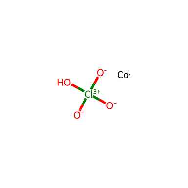 [Co].[O-][Cl+3]([O-])([O-])O